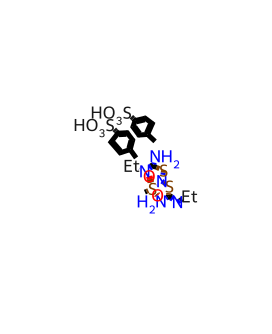 CCN=C(N)SN(SC(N)=NCC)S(C)(=O)=O.Cc1ccc(S(=O)(=O)O)cc1.Cc1ccc(S(=O)(=O)O)cc1